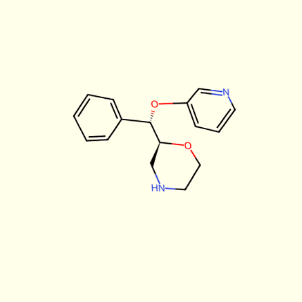 c1ccc([C@H](Oc2cccnc2)[C@@H]2CNCCO2)cc1